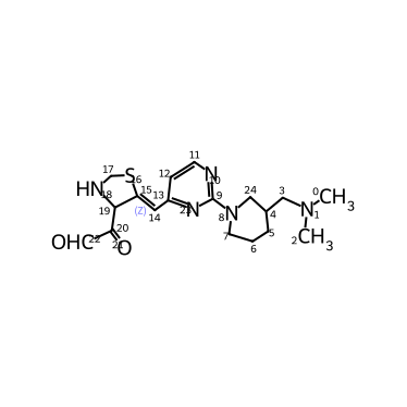 CN(C)CC1CCCN(c2nccc(/C=C3\SCNC3C(=O)C=O)n2)C1